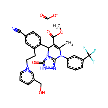 COC(=O)C1=C(C)N(c2cccc(C(F)(F)F)c2)c2n[nH]c(=O)n2C1c1ccc(C#N)cc1CC[n+]1cccc(CO)c1.O=C[O-]